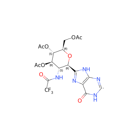 CC(=O)OC[C@H]1O[C@@H](c2nc3c(=O)[nH][c]nc3[nH]2)[C@H](NC(=O)C(F)(F)F)[C@@H](OC(C)=O)[C@@H]1OC(C)=O